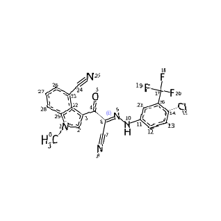 Cn1cc(C(=O)/C(C#N)=N/Nc2ccc(Cl)c(C(F)(F)F)c2)c2c(C#N)cccc21